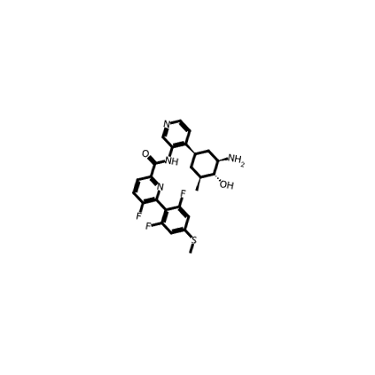 CSc1cc(F)c(-c2nc(C(=O)Nc3cnccc3[C@H]3C[C@@H](N)[C@H](O)[C@@H](C)C3)ccc2F)c(F)c1